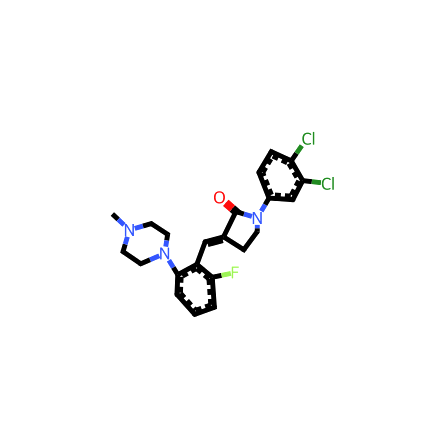 CN1CCN(c2cccc(F)c2C=C2CCN(c3ccc(Cl)c(Cl)c3)C2=O)CC1